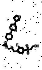 O=S(=O)(CCO)c1ccc(COC[C@@H]2C[C@@H]2C2CCN(c3ncc(-c4ccoc4)cn3)CC2)c(F)c1